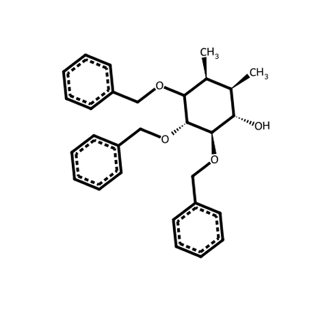 C[C@H]1[C@H](O)[C@@H](OCc2ccccc2)[C@H](OCc2ccccc2)C(OCc2ccccc2)[C@H]1C